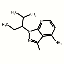 CCC(C(C)C)n1nc(I)c2c(N)ncnc21